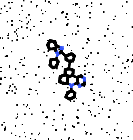 c1ccc(N2c3ncncc3-c3cc(-c4cccc(-c5nc6ccccc6n5-c5ccccc5)c4)cc4cccc2c34)cc1